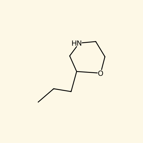 CCCC1CNCCO1